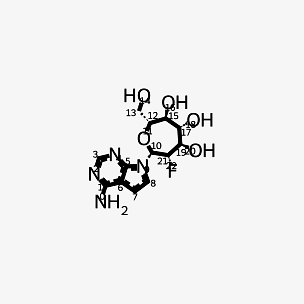 Nc1ncnc2c1ccn2[C@@H]1O[C@H](CO)[C@@H](O)[C@H](O)[C@@H](O)[C@@H]1F